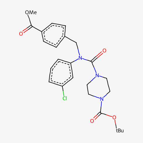 COC(=O)c1ccc(CN(C(=O)N2CCN(C(=O)OC(C)(C)C)CC2)c2cccc(Cl)c2)cc1